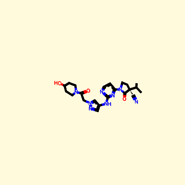 CC(C)[C@]1(C#N)CCN(c2ccnc(Nc3cnn(CC(=O)N4CCC(O)CC4)c3)n2)C1=O